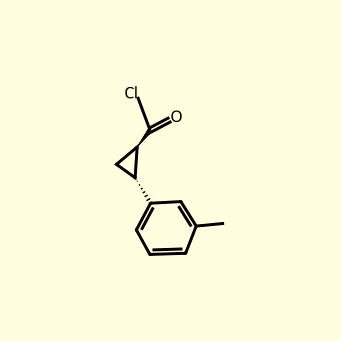 Cc1cccc([C@@H]2C[C@H]2C(=O)Cl)c1